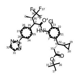 C[C@H](C(C(=O)Nc1cc([C@@H](CC(=O)OC(C)(C)C)C2CC2)ccc1Cl)c1ccc(-n2nccn2)cc1)C(F)(F)F